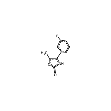 Cc1oc(=O)[nH]c1-c1cccc(F)c1